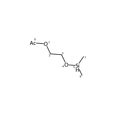 CC(=O)OCCO[SiH](C)C